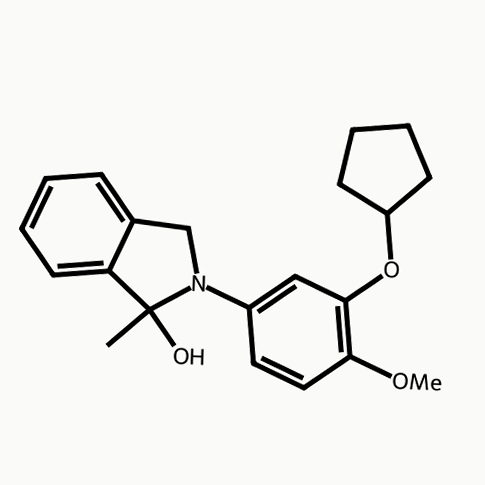 COc1ccc(N2Cc3ccccc3C2(C)O)cc1OC1CCCC1